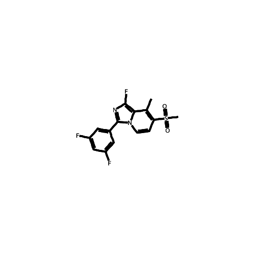 Cc1c(S(C)(=O)=O)ccn2c(-c3cc(F)cc(F)c3)nc(F)c12